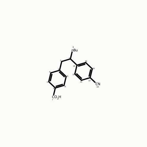 CCCCC(Cc1ccc(C(=O)O)cc1)c1ccc(C#N)cc1